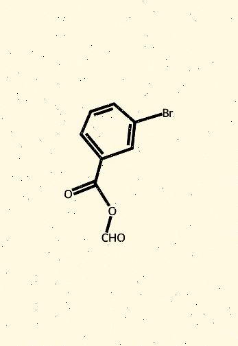 O=COC(=O)c1cccc(Br)c1